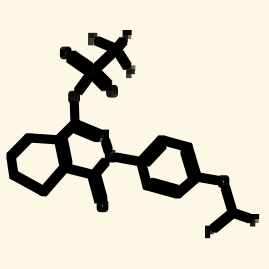 O=c1c2c(c(OS(=O)(=O)C(F)(F)F)nn1-c1ccc(OC(F)F)cc1)CCCC2